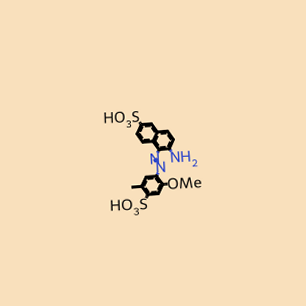 COc1cc(S(=O)(=O)O)c(C)cc1N=Nc1c(N)ccc2cc(S(=O)(=O)O)ccc12